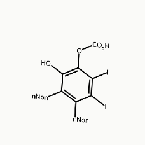 CCCCCCCCCc1c(O)c(OC(=O)O)c(I)c(I)c1CCCCCCCCC